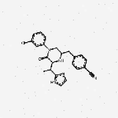 CC(c1ncc[nH]1)C1NC(Cc2ccc(C#N)cc2)CN(c2cccc(Cl)c2)C1=O